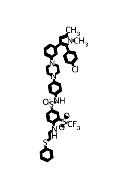 Cc1cc(-c2cccc(N3CCN(c4ccc(N[S+]([O-])c5ccc(NCCSc6ccccc6)c(S(=O)(=O)C(F)(F)F)c5)cc4)CC3)c2)c(-c2ccc(Cl)cc2)n1C